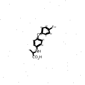 CC(Nc1ccc(Oc2ccc(F)cc2)cc1)C(=O)O